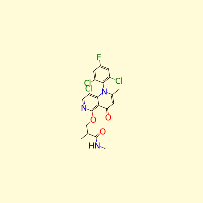 CNC(=O)C(C)COc1ncc(Cl)c2c1c(=O)cc(C)n2-c1c(Cl)cc(F)cc1Cl